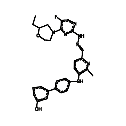 CCC1CN(c2nc(N/N=C/c3ccc(Nc4ccc(-c5cccc(O)c5)cc4)c(C)n3)ncc2F)CCO1